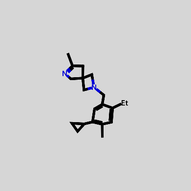 CCc1cc(C)c(C2CC2)cc1CN1CC2(CN=C(C)C2)C1